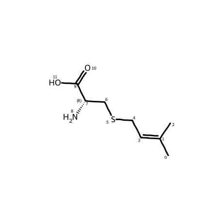 CC(C)=CCSC[C@H](N)C(=O)O